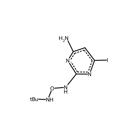 CC(C)(C)NONc1nc(N)cc(I)n1